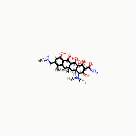 CCCCNCc1cc(O)c2c(c1OC)C[C@H]1C[C@H]3[C@H](N(C)C)C(O)=C(C(N)=O)C(=O)[C@@]3(O)C(O)=C1C2=O